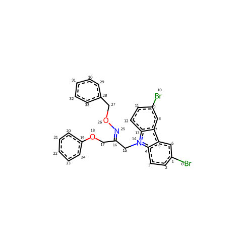 Brc1ccc2c(c1)c1cc(Br)ccc1n2CC(COc1ccccc1)=NOCc1ccccc1